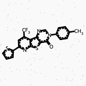 Cc1ccc(-n2cnc3c(sc4nc(-c5cccs5)cc(C(F)(F)F)c43)c2=O)cc1